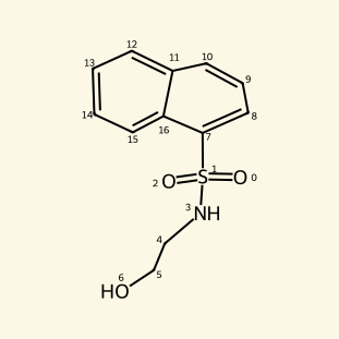 O=S(=O)(NCCO)c1cccc2ccccc12